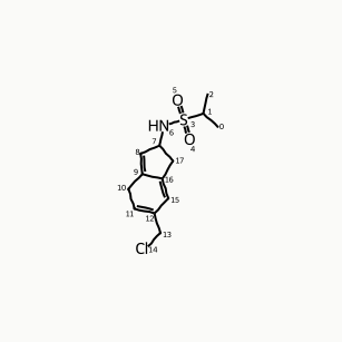 CC(C)S(=O)(=O)NC1C=C2CC=C(CCl)C=C2C1